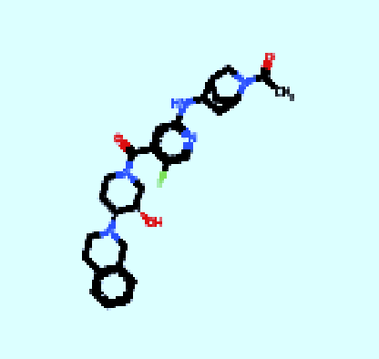 CC(=O)N1CC2CC1CC2Nc1cc(C(=O)N2CC[C@H](N3CCc4ccccc4C3)[C@@H](O)C2)c(F)cn1